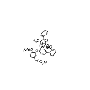 COc1ccc(CC(=O)O)cc1Oc1ccc(-c2ccccc2OC)cc1CN1C(=O)OC(c2ccccc2)C1C